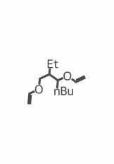 C=COCC(CC)C(CCCC)OC=C